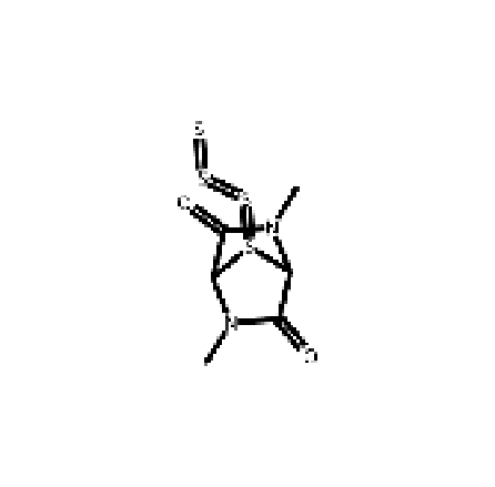 CN1C(=O)C2N(C)C(=O)C1S2=S=S=S